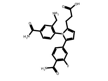 NCc1cc(C(N)=O)ccc1-n1c(CCC(=O)O)ccc1-c1ccc(C(N)=O)c(F)c1